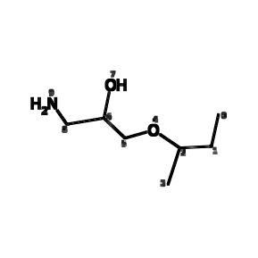 CCC(C)OCC(O)CN